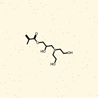 C=C(C)C(=O)OCC(O)CN(CCO)CCO